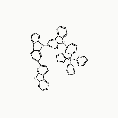 c1ccc([Si](c2ccccc2)(c2ccccc2)c2cccc(-n3c4ccccc4c4cc(-n5c6ccccc6c6ccc(-c7ccc8c(c7)oc7ccccc78)cc65)ccc43)c2)cc1